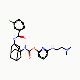 CN(C)CCNc1cccc(OC(=O)NC23CC4CC(C2)CC(NC(=O)c2cccc(F)c2)(C4)C3)n1